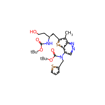 Cc1c(C[C@H](CCO)NC(=O)OC(C)(C)C)sc2c(N(Cc3cccs3)C(=O)OC(C)(C)C)cnnc12